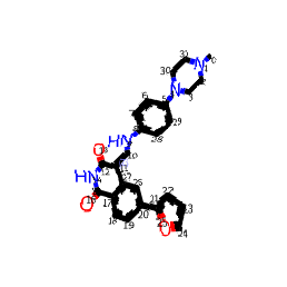 CN1CCN(c2ccc(N/C=C3\C(=O)NC(=O)c4ccc(-c5ccco5)cc43)cc2)CC1